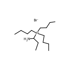 CCCC[P+](CCCC)(CCCC)C(N)CC.[Br-]